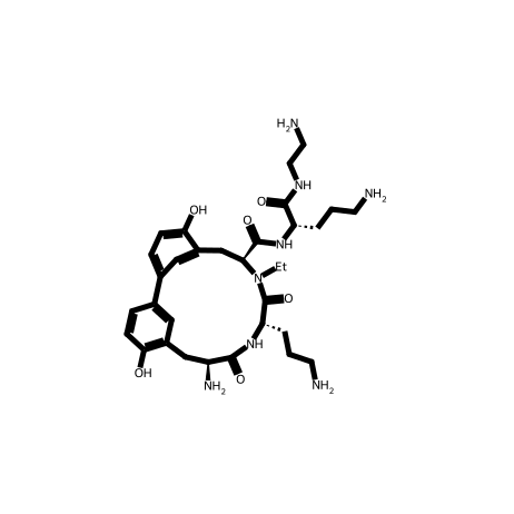 CCN1C(=O)[C@H](CCCN)NC(=O)[C@@H](N)Cc2cc(ccc2O)-c2ccc(O)c(c2)C[C@H]1C(=O)N[C@@H](CCCN)C(=O)NCCN